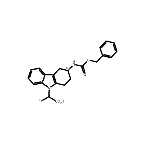 CCC(C(=O)O)n1c2c(c3ccccc31)C[C@@H](NC(=O)OCc1ccccc1)CC2